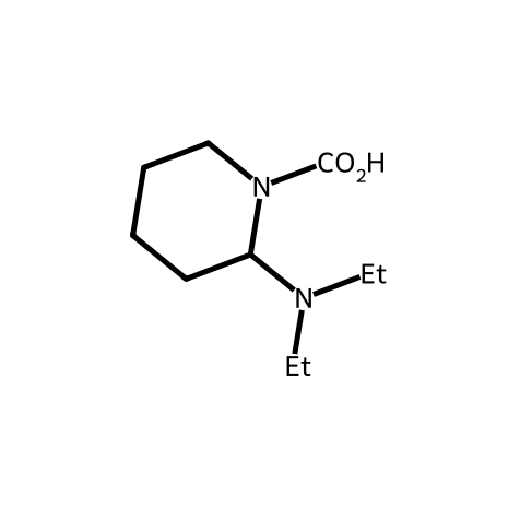 CCN(CC)C1CCCCN1C(=O)O